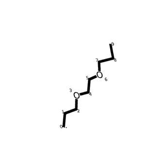 [CH2]CCOCCOCCC